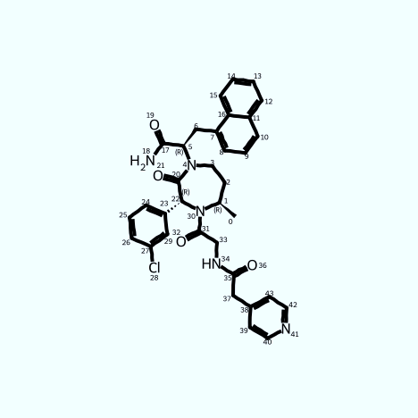 C[C@@H]1CCN([C@H](Cc2cccc3ccccc23)C(N)=O)C(=O)[C@@H](c2cccc(Cl)c2)N1C(=O)CNC(=O)Cc1ccncc1